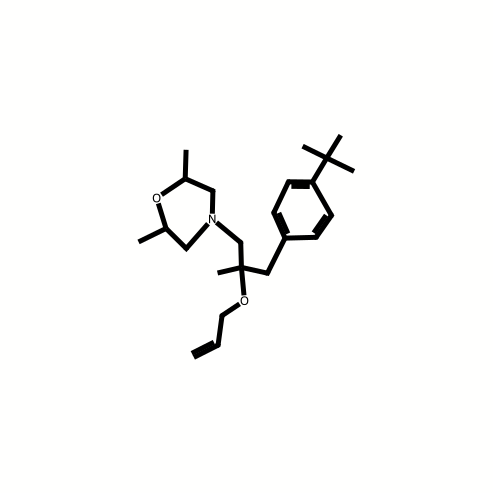 C=CCOC(C)(Cc1ccc(C(C)(C)C)cc1)CN1CC(C)OC(C)C1